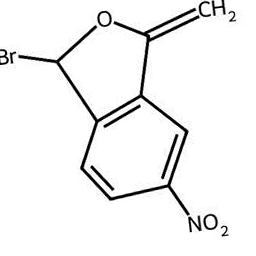 C=C1OC(Br)c2ccc([N+](=O)[O-])cc21